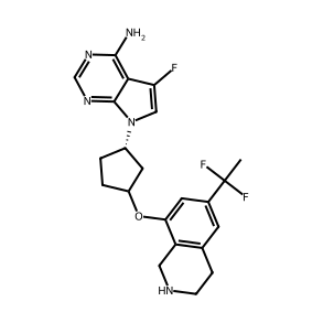 CC(F)(F)c1cc2c(c(OC3CC[C@H](n4cc(F)c5c(N)ncnc54)C3)c1)CNCC2